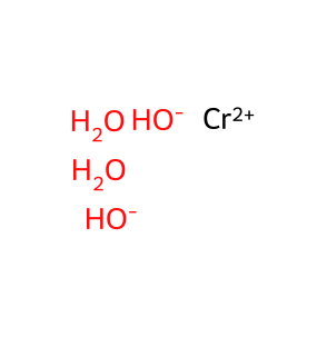 O.O.[Cr+2].[OH-].[OH-]